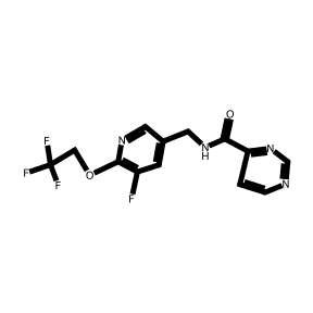 O=C(NCc1cnc(OCC(F)(F)F)c(F)c1)c1ccncn1